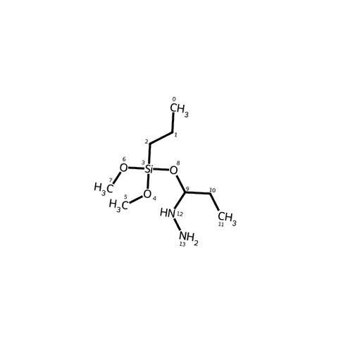 CCC[Si](OC)(OC)OC(CC)NN